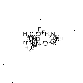 C=N/C(NCc1ccc(-c2cnc3[nH]nc(N)c3c2)cc1)=C(\N=C(/C)C#N)C(=O)N[C@@H](C)c1ccc(F)c(F)c1